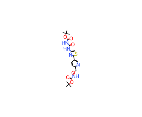 CC(C)(C)OC(=O)NOCc1ccc(-c2nc(NC(=O)NC(=O)OC(C)(C)C)cs2)cn1